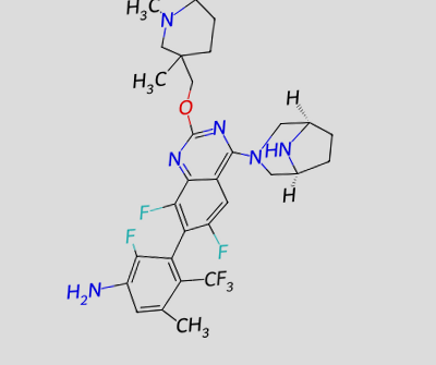 Cc1cc(N)c(F)c(-c2c(F)cc3c(N4C[C@H]5CC[C@@H](C4)N5)nc(OCC4(C)CCCN(C)C4)nc3c2F)c1C(F)(F)F